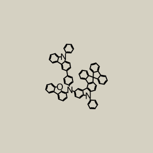 c1ccc(-n2c3ccccc3c3cc(-c4ccc(N(c5ccc6c(c5)c5c7c(ccc5n6-c5ccccc5)C5(c6ccccc6-c6ccccc65)c5ccccc5-7)c5cccc6c5oc5ccccc56)cc4)ccc32)cc1